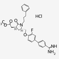 COC(=O)C[C@@H]1C[C@@H](COc2ccc(-c3ccc(C(=N)N)cc3)cc2F)N(CCCc2ccccc2)C1=O.Cl